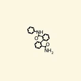 NC(=O)c1ccccc1-c1ccccc1C(=O)Nc1ccccc1